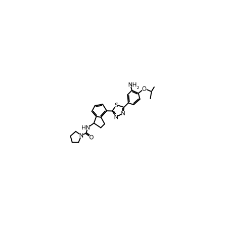 CC(C)Oc1ccc(-c2nnc(-c3cccc4c3CCC4NC(=O)N3CCCC3)s2)cc1N